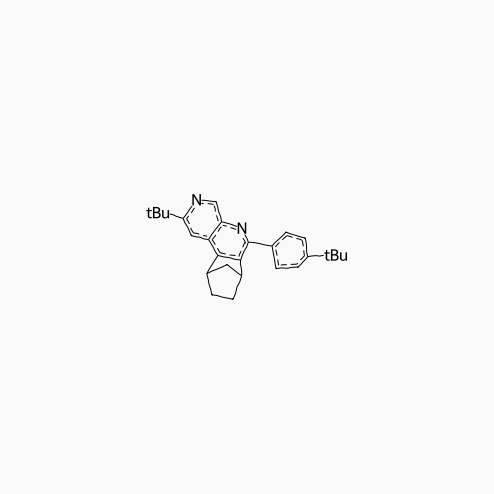 CC(C)(C)c1ccc(-c2nc3cnc(C(C)(C)C)cc3c3c2C2CCC3C2)cc1